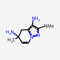 CNc1nn2c(c1N)CC(C)(N)C=C2